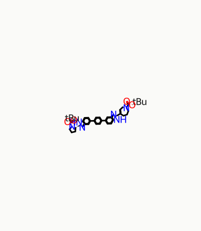 CC(C)(C)OC(=O)N1CC=C(c2nc3cc(-c4ccc(-c5ccc6[nH]c([C@@H]7CCCN7C(=O)OC(C)(C)C)nc6c5)cc4)ccc3[nH]2)CCC1